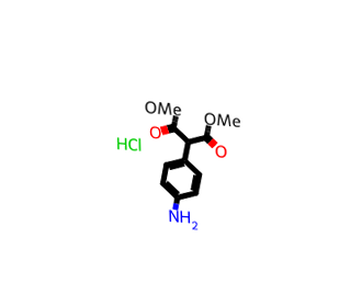 COC(=O)C(C(=O)OC)c1ccc(N)cc1.Cl